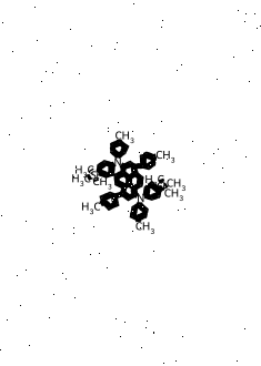 Cc1ccc(-c2cc(N(c3ccc(C)cc3)c3ccc([Si](C)(C)C)cc3)c3ccc4c(-c5ccc(C)cc5)cc(N(c5ccc(C)cc5)c5ccc([Si](C)(C)C)cc5)c5ccc2c3c45)cc1